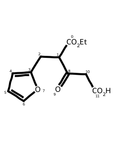 CCOC(=O)C(Cc1ccco1)C(=O)CC(=O)O